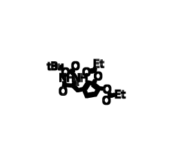 CCC(=O)Oc1ccc(CC(NC(=O)OC(C)(C)C)C(N)=O)cc1OC(=O)CC